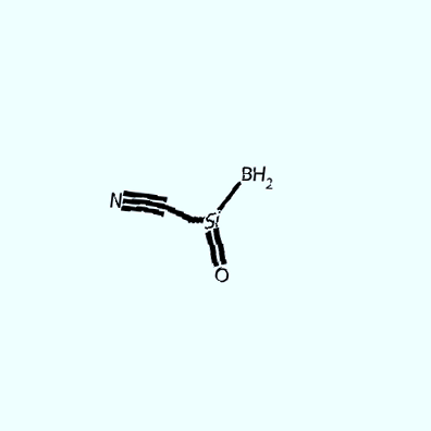 B[Si](=O)C#N